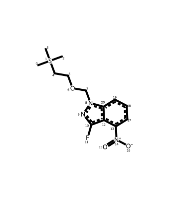 CS(C)(C)CCOCn1nc(F)c2c([N+](=O)[O-])cccc21